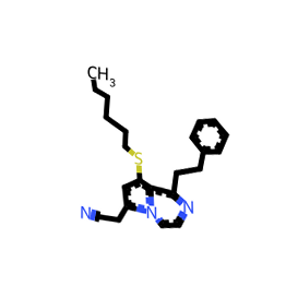 CCCCCCSc1cc(CC#N)n2ccnc(CCc3ccccc3)c12